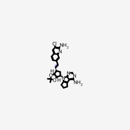 CC1(C)O[C@@H]2[C@H](O1)[C@@H](/C=C/c1ccc3cc(Cl)c(N)nc3c1)C[C@H]2n1c2c(c3c(N)ncnc31)CCC2